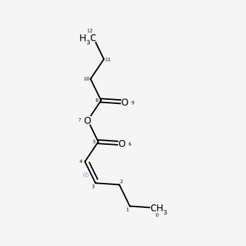 CCC/C=C\C(=O)OC(=O)CCC